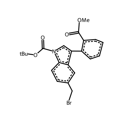 COC(=O)c1ccccc1-c1cn(C(=O)OC(C)(C)C)c2ccc(CBr)cc12